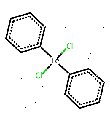 Cl[Te](Cl)(c1ccccc1)c1ccccc1